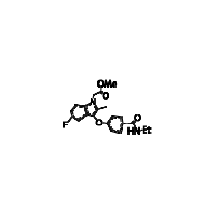 CCNC(=O)c1ccc(Oc2c(C)n(CC(=O)OC)c3ccc(F)cc23)cc1